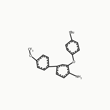 CC(C)(C)c1ccc(Oc2cc(-c3ccc(OC(F)(F)F)cc3)ccc2N)cc1